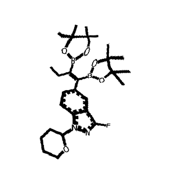 CCC(B1OC(C)(C)C(C)(C)O1)=C(B1OC(C)(C)C(C)(C)O1)c1ccc2c(c1)c(F)nn2C1CCCCO1